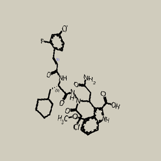 COc1cccc2[nH]c(C(=O)O)c(C(CC(N)=O)N(NC(=O)[C@H](CC3CCCCC3)NC(=O)/C=C/c3ccc(Cl)cc3F)C(=O)CCl)c12